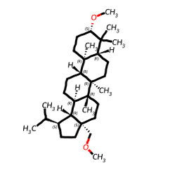 COC[C@]12CC[C@@H](C(C)C)[C@@H]1[C@H]1CC[C@@H]3[C@@]4(C)CC[C@H](OC)C(C)(C)[C@@H]4CC[C@@]3(C)[C@]1(C)CC2